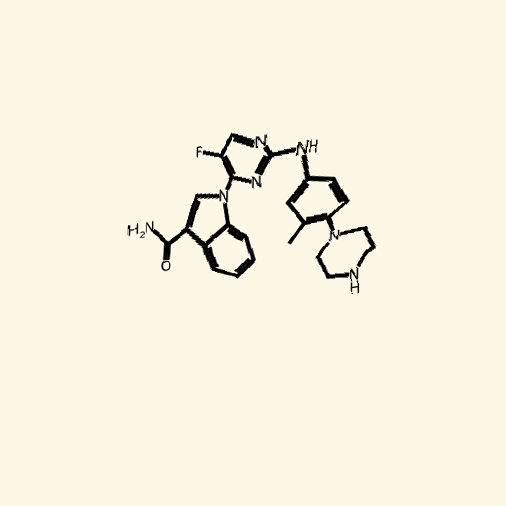 Cc1cc(Nc2ncc(F)c(-n3cc(C(N)=O)c4ccccc43)n2)ccc1N1CCNCC1